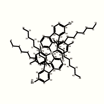 CCCCCCCCC1(CCCCCCCC)c2cc(Br)ccc2-c2cccc([Si](c3cccc4c3C(CCCCCCCC)(CCCCCCCC)c3cc(Br)ccc3-4)(c3c(C)cc(C)cc3C)c3c(C)cc(C)cc3C)c21